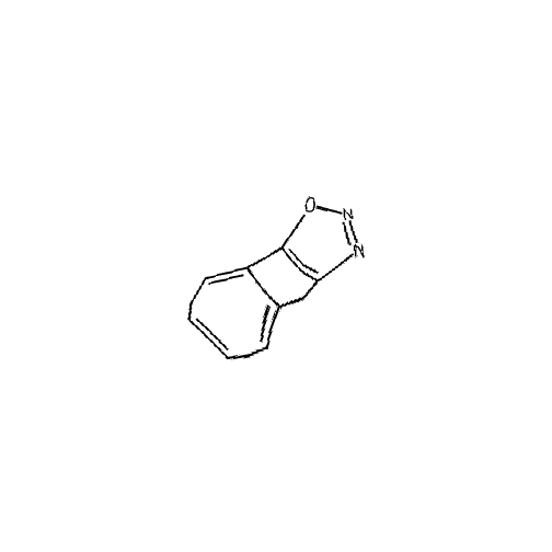 c1ccc2c(c1)-c1nnoc1-2